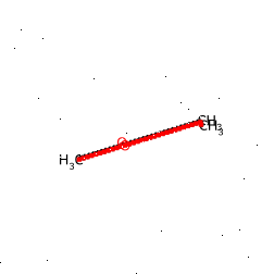 CCCCCCCCC=CCCCCCCCCCCCC(=O)OCCCCCCCCCCCCCCCCCCCCCCCCCCCCCCCCCCCC(C)CC